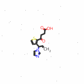 C=CC(c1ccsc1C(=O)CCC(=O)O)n1ccnc1